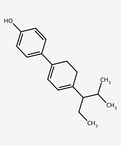 CCC(C1=CC=C(c2ccc(O)cc2)CC1)C(C)C